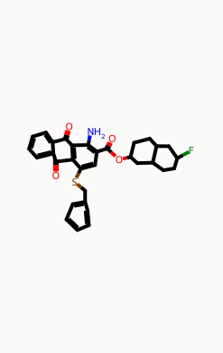 Nc1c(C(=O)OC2CCC3CC(F)CCC3C2)cc(SCc2ccccc2)c2c1C(=O)c1ccccc1C2=O